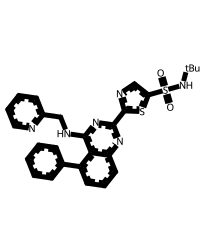 CC(C)(C)NS(=O)(=O)c1cnc(-c2nc(NCc3ccccn3)c3c(-c4ccccc4)cccc3n2)s1